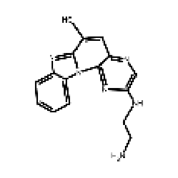 N#Cc1cc2ncc(NCCN)nc2n2c1nc1ccccc12